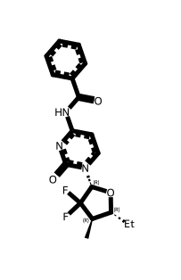 CC[C@H]1O[C@@H](n2ccc(NC(=O)c3ccccc3)nc2=O)C(F)(F)[C@@H]1C